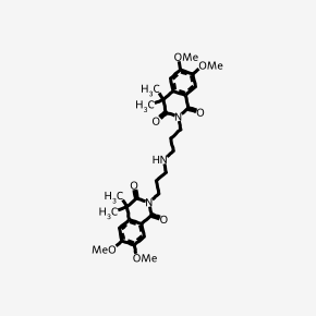 COc1cc2c(cc1OC)C(C)(C)C(=O)N(CCCNCCCN1C(=O)c3cc(OC)c(OC)cc3C(C)(C)C1=O)C2=O